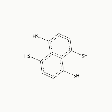 Sc1ccc(S)c2c(S)ccc(S)c12